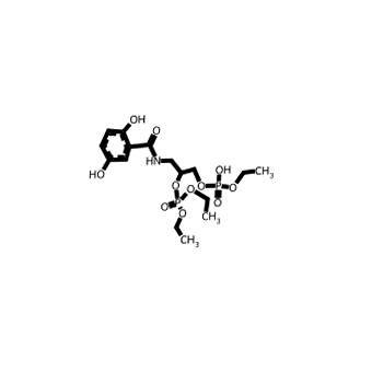 CCOP(=O)(O)OCC(CNC(=O)c1cc(O)ccc1O)OP(=O)(OCC)OCC